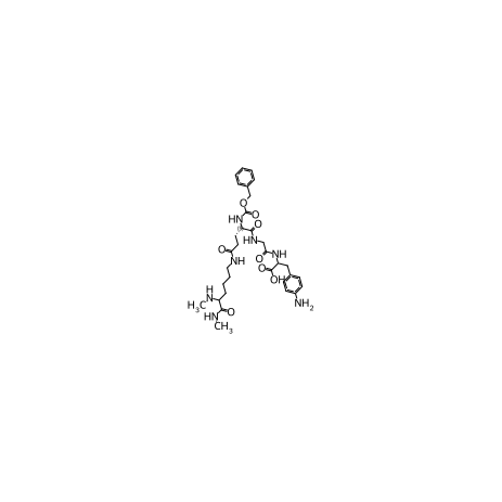 CNC(=O)C(CCCCNC(=O)CC[C@H](NC(=O)OCc1ccccc1)C(=O)NCC(=O)NC(Cc1ccc(N)cc1)C(=O)O)NC